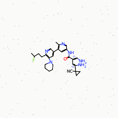 Cc1ncc(NC(=O)C(/C=C(\N)C2(C#N)CC2)=C/N)cc1-c1cnc(CCC(C)F)c(N2CCCCC2)c1